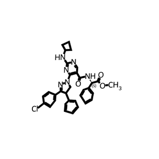 COC(=O)[C@@H](NC(=O)c1cnc(NC2CCC2)nc1N1CC(c2ccccc2)C(c2ccc(Cl)cc2)=N1)c1ccccc1